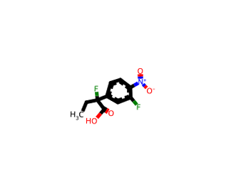 CCC(F)(C(=O)O)c1ccc([N+](=O)[O-])c(F)c1